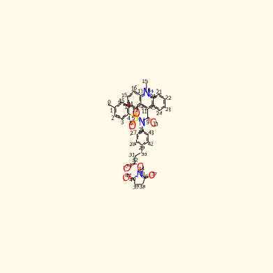 Cc1ccc(S(=O)(=O)N(C(=O)c2c3ccccc3[n+](C)c3ccccc23)c2ccc(CCC(=O)ON3C(=O)CCC3=O)cc2)cc1